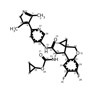 CC1=NCC(C)=C1c1ccc(NC(=O)[C@@H](NC(=O)OC2CC2)C2c3cc(F)c(F)cc3OCC23CC3)cn1